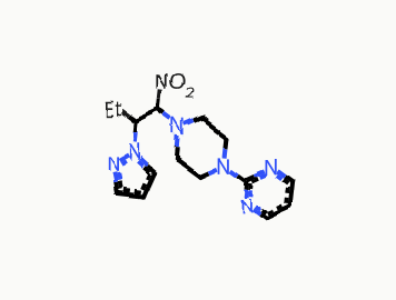 [CH2]CC(C(N1CCN(c2ncccn2)CC1)[N+](=O)[O-])n1cccn1